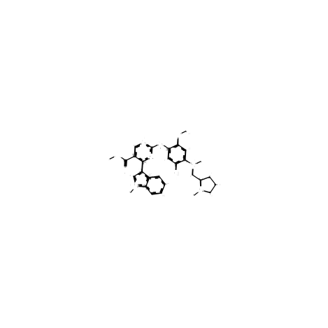 COC(=O)c1cnc(Nc2cc(N)c(N(C)CC3CCCN3C)cc2OC)nc1-c1cn(C)c2ccccc12